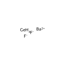 [Ba+2].[F-].[F-].[GeH4]